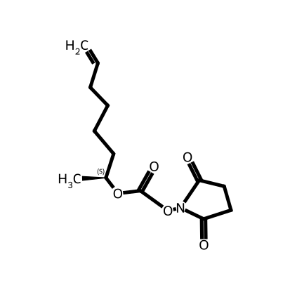 C=CCCCC[C@H](C)OC(=O)ON1C(=O)CCC1=O